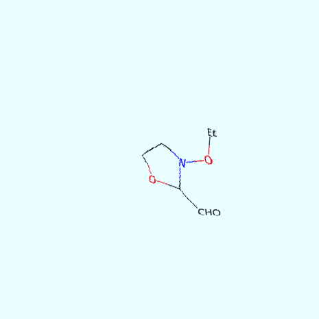 CCON1CCOC1C=O